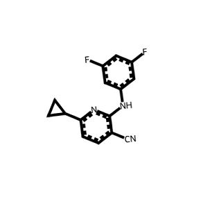 N#Cc1ccc(C2CC2)nc1Nc1cc(F)cc(F)c1